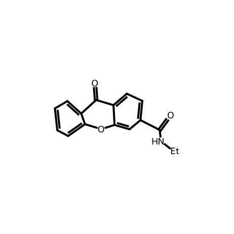 CCNC(=O)c1ccc2c(=O)c3ccccc3oc2c1